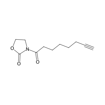 C#CCCCCCC(=O)N1CCOC1=O